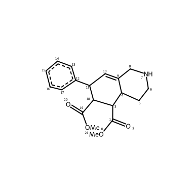 COC(=O)C1C2CCNCC2=CC(c2ccccc2)C1C(=O)OC